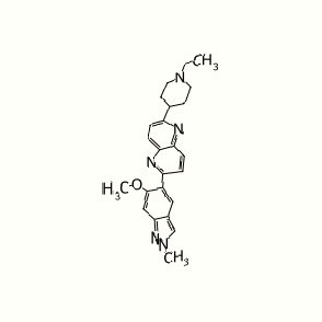 CCN1CCC(c2ccc3nc(-c4cc5cn(C)nc5cc4OC)ccc3n2)CC1